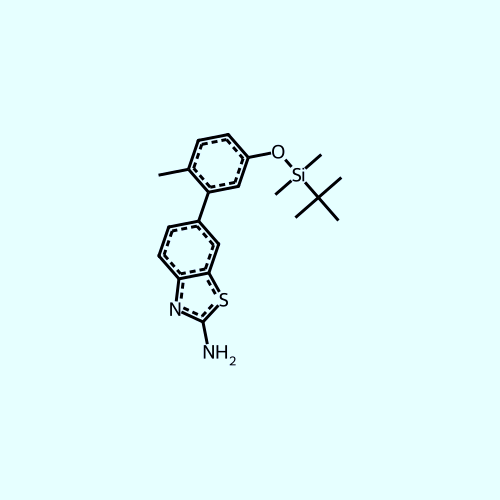 Cc1ccc(O[Si](C)(C)C(C)(C)C)cc1-c1ccc2nc(N)sc2c1